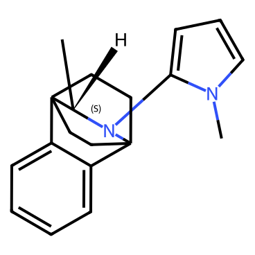 C[C@@H]1N(c2cccn2C)C23CCC1(CC2)c1ccccc13